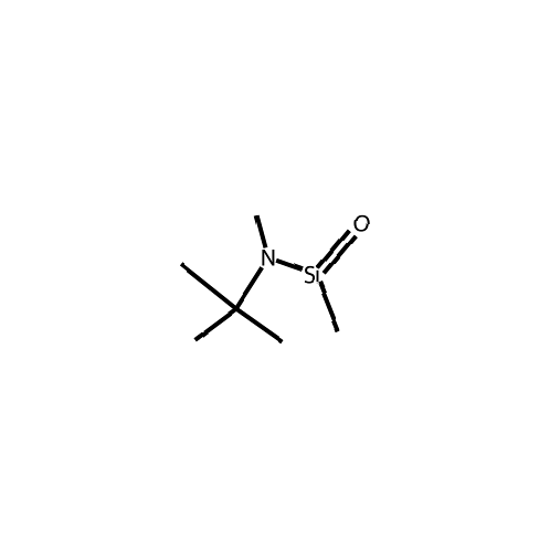 CN([Si](C)=O)C(C)(C)C